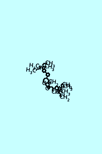 C=CCCC1=C(C)N(C(/C=C\C)CC)C2=CC=C(/C(C=C)=C/c3coc4c3C[C@H]3C(=C)/C=C(c5cccc(-c6ccc7c(c6)C(C)C(/C=C\CC)N7/C(=C/C)CCCC)c5)\C=C/COC3C4)CC21C